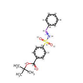 CC(C)(C)OC(=O)c1ccc(S(=O)(=O)/N=I/c2ccccc2)cc1